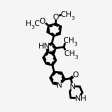 COc1ccc(-c2[nH]c3ccc(-c4ccnc(C(=O)N5CCNCC5)c4)cc3c2C(C)C)cc1OC